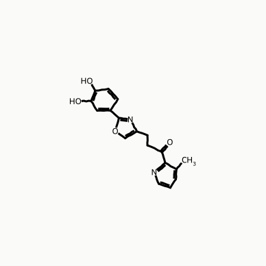 Cc1cccnc1C(=O)CCc1coc(-c2ccc(O)c(O)c2)n1